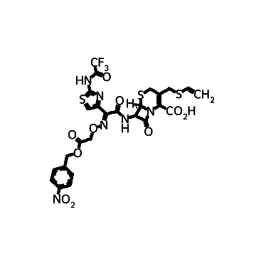 C=CSCC1=C(C(=O)O)N2C(=O)C(NC(=O)C(=NOCC(=O)OCc3ccc([N+](=O)[O-])cc3)c3csc(NC(=O)C(F)(F)F)n3)[C@@H]2SC1